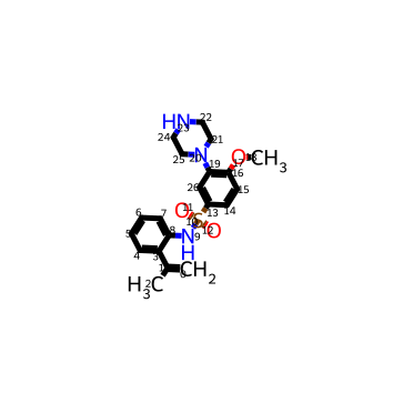 C=C(C)c1ccccc1NS(=O)(=O)c1ccc(OC)c(N2CCNCC2)c1